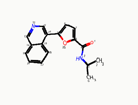 CC(C)NC(=O)c1ccc(-c2cncc3ccccc23)o1